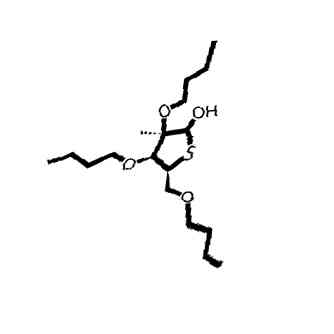 CCCCOC[C@@H]1SC(O)[C@](C)(OCCCC)[C@@H]1OCCCC